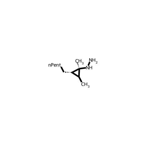 CCCCCC[C@H]1C(C)[C@]1(C)NN